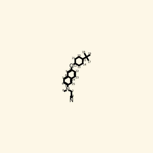 CN(CC#N)c1ccc2cc(OC3CCC(C(C)(C)C)CC3)ccc2c1